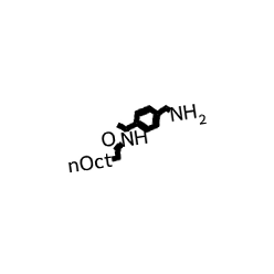 CCCCCCCCCC(=O)NC(C)c1ccc(CN)cc1